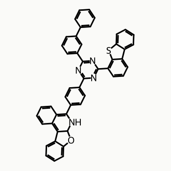 c1ccc(-c2cccc(-c3nc(-c4ccc(C5=c6ccccc6=C6c7ccccc7OC6N5)cc4)nc(-c4cccc5c4sc4ccccc45)n3)c2)cc1